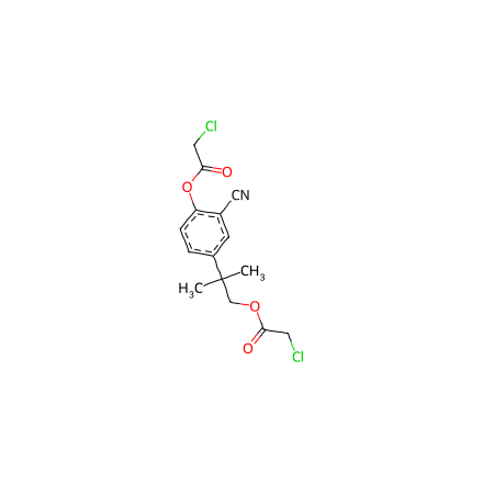 CC(C)(COC(=O)CCl)c1ccc(OC(=O)CCl)c(C#N)c1